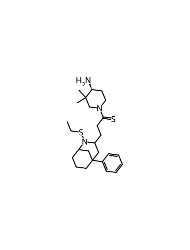 CCSN1C2CCCC(c3ccccc3)(C2)CC1CCC(=S)N1CC[C@H](N)C(C)(C)C1